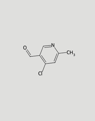 Cc1cc(Cl)c(C=O)cn1